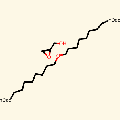 CCCCCCCCCCCCCCCCCCOCCCCCCCCCCCCCCCCCC.OCC1CO1